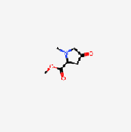 COC(=O)C1CC(=O)CN1C